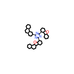 c1ccc2c(c1)ccc1ccc(-c3nc(-c4cccc5c4oc4c6ccccc6ccc54)nc(-c4cccc5oc6ccccc6c45)n3)cc12